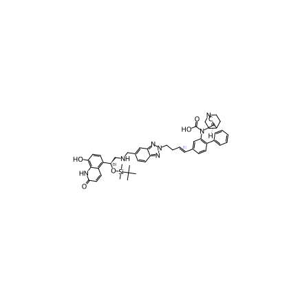 CC(C)(C)[Si](C)(C)O[C@H](CNCc1ccc2nn(CC/C=C/c3ccc(-c4ccccc4)c(N(C(=O)O)[C@H]4CN5CCC4CC5)c3)nc2c1)c1ccc(O)c2[nH]c(=O)ccc12